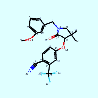 COc1cccc(CN2CC(C)(C)C(Oc3ccc(C#N)c(C(F)(F)F)c3)C2=O)c1